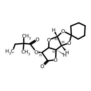 CCC(C)(C)C(=O)O[C@@H]1C(=O)O[C@H]2C1O[C@@H]1OC3(CCCCC3)O[C@@H]12